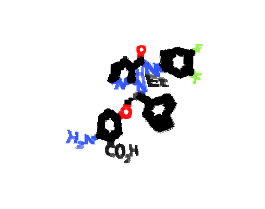 CCN(C(=O)c1cccnc1N[C@@H](COc1ccc(N)c(C(=O)O)c1)c1ccccc1)c1ccc(F)c(F)c1